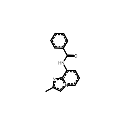 Cc1cn2cccc(NC(=O)c3ccccc3)c2n1